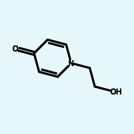 O=c1ccn(CCO)cc1